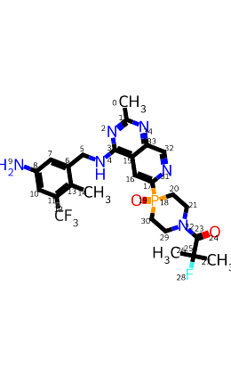 Cc1nc(NCc2cc(N)cc(C(F)(F)F)c2C)c2cc(P3(=O)CCN(C(=O)C(C)(C)F)CC3)ncc2n1